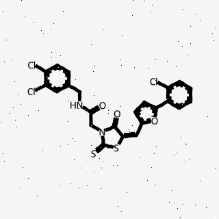 O=C(CN1C(=O)C(=Cc2ccc(-c3ccccc3Cl)o2)SC1=S)NCc1ccc(Cl)c(Cl)c1